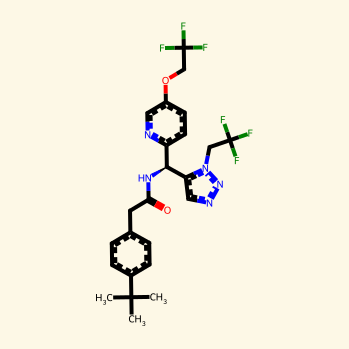 CC(C)(C)c1ccc(CC(=O)N[C@@H](c2ccc(OCC(F)(F)F)cn2)c2cnnn2CC(F)(F)F)cc1